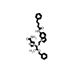 C[C@H](OCc1ccccc1)[C@@H](CCn1ccc2ccc(NC(=O)CCCc3ccccc3)cc21)n1cnc(C(N)=O)c1